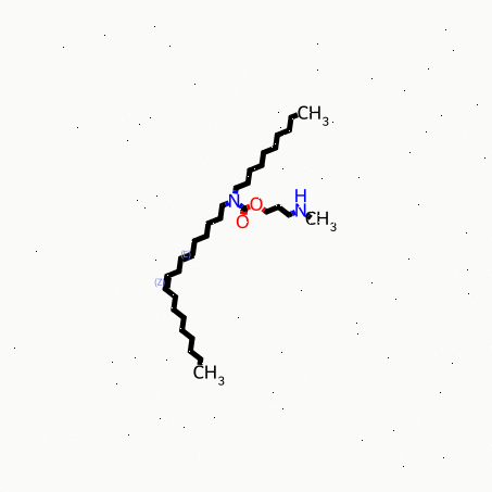 CCCCCCCC/C=C\C/C=C/CCCCCN(CCCCCCCCCC)C(=O)OCCCNC